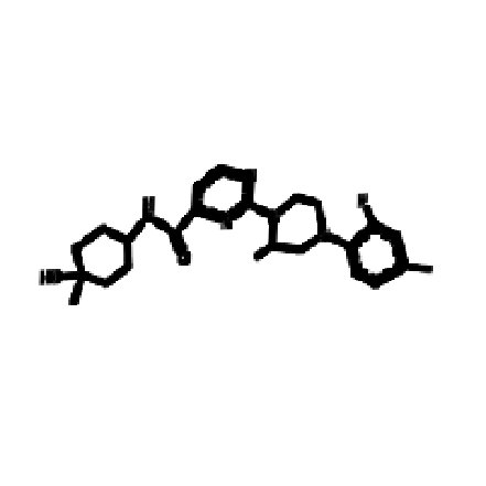 Cc1ccc(N2CCN(c3nccc(C(=O)NC4CCC(C)(O)CC4)n3)[C@H](C)C2)c(F)c1